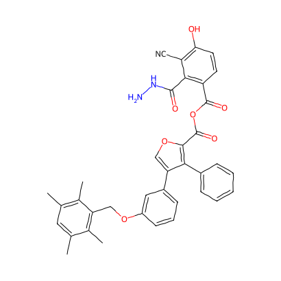 Cc1cc(C)c(C)c(COc2cccc(-c3coc(C(=O)OC(=O)c4ccc(O)c(C#N)c4C(=O)NN)c3-c3ccccc3)c2)c1C